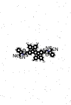 Cc1ccc(C2(c3ccc(C)cc3)c3cc4c(cc3-c3cc5sc(/C=C6\C(=O)c7ccccc7C6=C(C#N)C#N)cc5cc32)C(c2ccc(C)cc2)(c2ccc(C)cc2)c2cc3cc(/C=C5\C(=O)c6ccccc6C5=C(C#N)C#N)sc3cc2-4)cc1